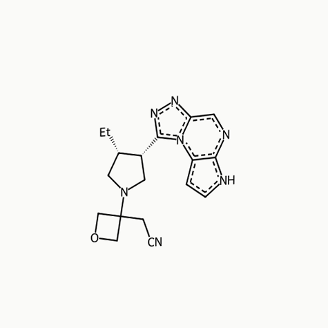 CC[C@H]1CN(C2(CC#N)COC2)C[C@H]1c1nnc2cnc3[nH]ccc3n12